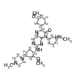 CNc1cccc(-n2c(=O)c(-c3cccc(OC)c3)nc3cnc(Nc4ccc(N5CCN(C)CC5)cc4OC)nc32)c1